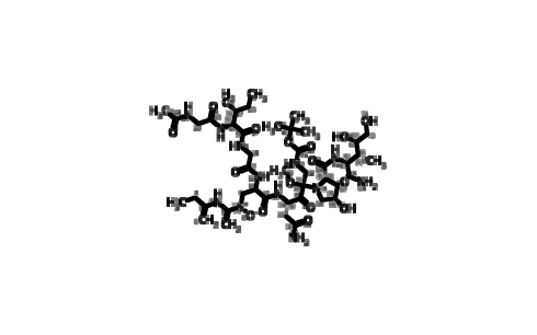 C=C(CC)NC(=C)[S@+]([O-])CC(NC(=O)CNC(=O)[C@@H](NC(=O)CNC(C)=O)[C@@H](C)CC)C(=O)N[C@@H](CC(N)=O)C(=O)[C@](CNC(=O)OC(C)(C)C)(OC)N1C[C@H](O)C[C@H]1C(=O)N[C@H](C(N)=O)[C@@H](C)[C@@H](O)CO